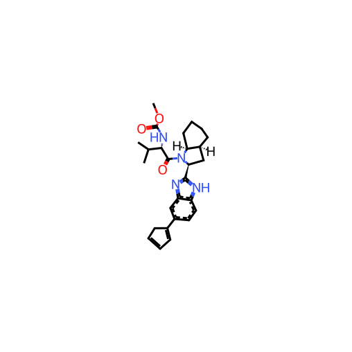 COC(=O)N[C@H](C(=O)N1[C@H](c2nc3cc(C4=CC=CC4)ccc3[nH]2)C[C@@H]2CCCC[C@@H]21)C(C)C